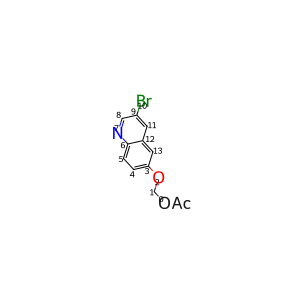 CC(=O)OCOc1ccc2ncc(Br)cc2c1